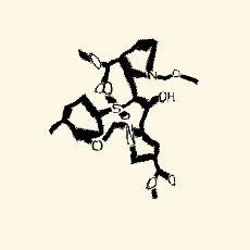 COCn1cc(C(=O)OC)cc1C(O)C(c1c(C(=O)OC)ccn1COC)S(=O)(=O)c1ccc(C)cc1